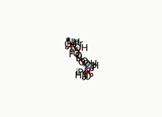 C=C(CC(=O)OCc1cccc(COC(=O)C[C@H](O)C/C(O)=C\Cn2c(-c3ccc(F)cc3)c(-c3ccccc3)c(C(=O)Nc3ccccc3)c2C(C)C)n1)C[C@H](O)CCn1c(-c2ccc(F)cc2)c(-c2ccccc2)c(C(=O)Nc2ccccc2)c1C(C)C